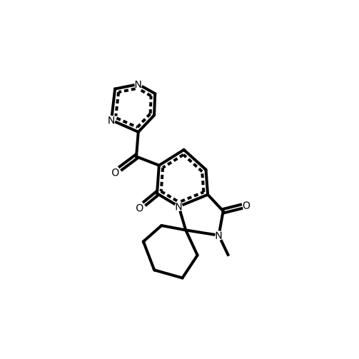 CN1C(=O)c2ccc(C(=O)c3ccncn3)c(=O)n2C12CCCCC2